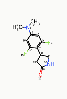 CN(C)c1cc(F)c(C2CNC(=O)C2)c(F)c1